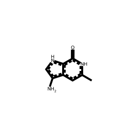 Cc1cc2c(N)c[nH]c2c(=O)[nH]1